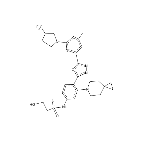 Cc1cc(-c2nnc(-c3ccc(NS(=O)(=O)CCO)cc3N3CCC4(CC3)CC4)o2)nc(N2CCC(C(F)(F)F)C2)c1